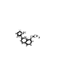 COc1cccc2ccc(-c3ccc[nH]3)nc12